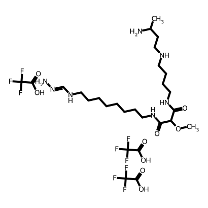 COC(C(=O)NCCCCCCCCNC=NN)C(=O)NCCCCNCCC(C)N.O=C(O)C(F)(F)F.O=C(O)C(F)(F)F.O=C(O)C(F)(F)F